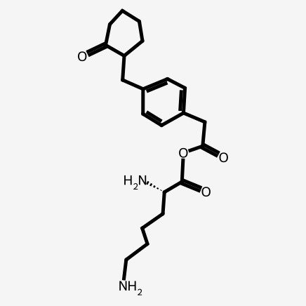 NCCCC[C@H](N)C(=O)OC(=O)Cc1ccc(CC2CCCCC2=O)cc1